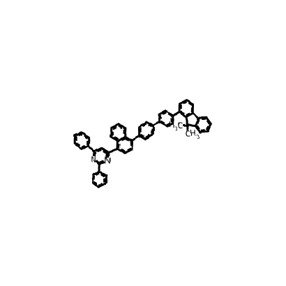 CC1(C)c2ccccc2-c2cccc(-c3ccc(-c4ccc(-c5ccc(-c6cc(-c7ccccc7)nc(-c7ccccc7)n6)c6ccccc56)cc4)cc3)c21